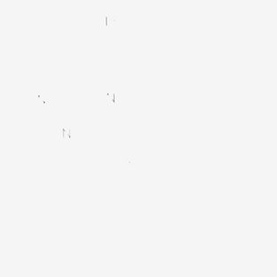 CC(C)Cc1nnc(SCc2ccccc2)n1Cc1ccccc1